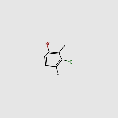 CCc1ccc(Br)c(C)c1Cl